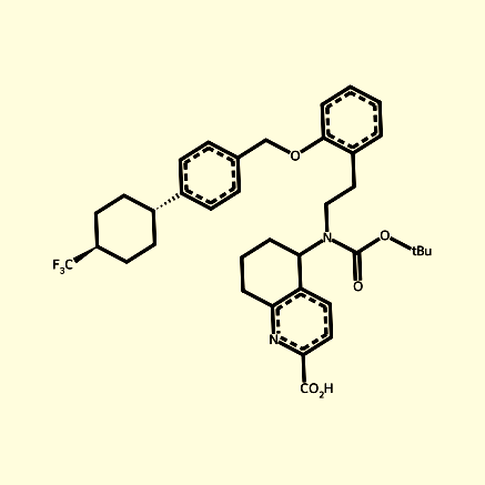 CC(C)(C)OC(=O)N(CCc1ccccc1OCc1ccc([C@H]2CC[C@H](C(F)(F)F)CC2)cc1)C1CCCc2nc(C(=O)O)ccc21